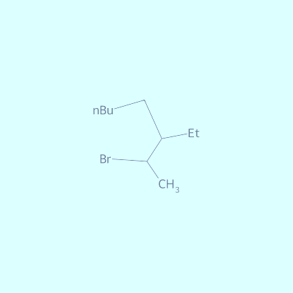 CCCCCC(CC)C(C)Br